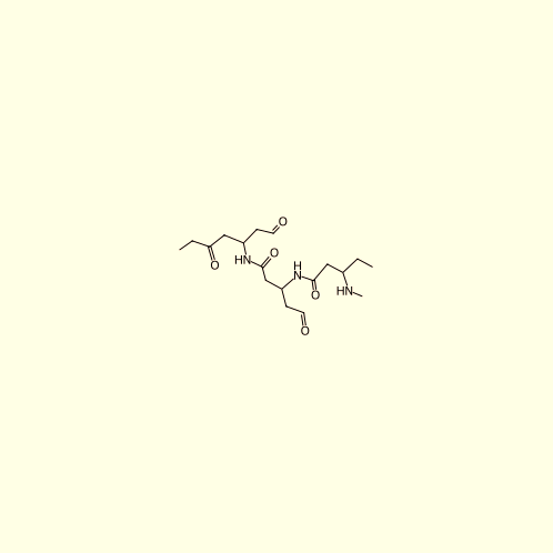 CCC(=O)CC(CC=O)NC(=O)CC(CC=O)NC(=O)CC(CC)NC